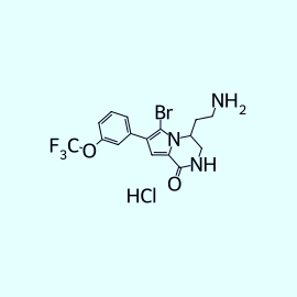 Cl.NCCC1CNC(=O)c2cc(-c3cccc(OC(F)(F)F)c3)c(Br)n21